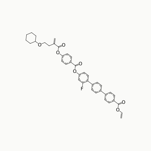 C=COC(=O)c1ccc(-c2ccc(-c3ccc(OC(=O)c4ccc(OC(=O)C(=C)CCOC5CCCCC5)cc4)cc3F)cc2)cc1